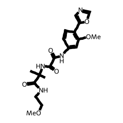 COCCNC(=O)C(C)(C)NC(=O)C(=O)Nc1ccc(-c2cnco2)c(OC)c1